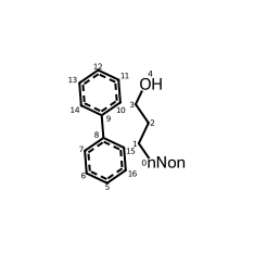 CCCCCCCCCCCCO.c1ccc(-c2ccccc2)cc1